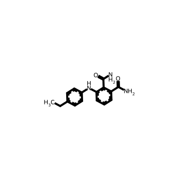 CCc1ccc(Nc2cccc(C(N)=O)c2C(N)=O)cc1